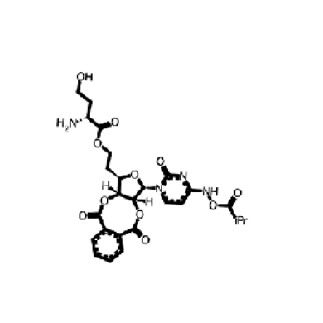 CC(C)C(=O)ONc1ccn([C@@H]2O[C@H](CCOC(=O)[C@H](N)CCO)[C@H]3OC(=O)c4ccccc4C(=O)O[C@H]32)c(=O)n1